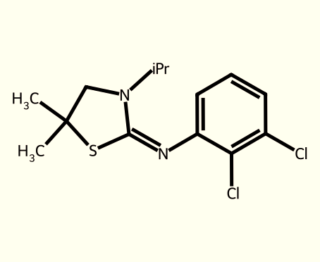 CC(C)N1CC(C)(C)SC1=Nc1cccc(Cl)c1Cl